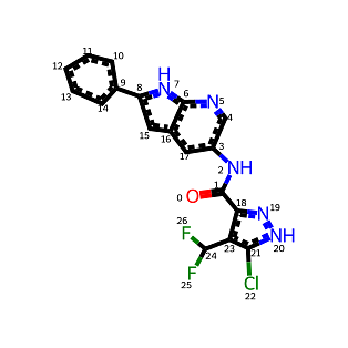 O=C(Nc1cnc2[nH]c(-c3ccccc3)cc2c1)c1n[nH]c(Cl)c1C(F)F